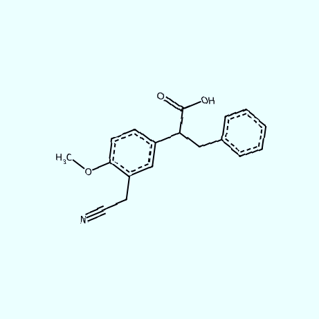 COc1ccc(C(Cc2ccccc2)C(=O)O)cc1CC#N